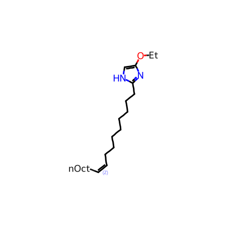 CCCCCCCC/C=C\CCCCCCCCc1nc(OCC)c[nH]1